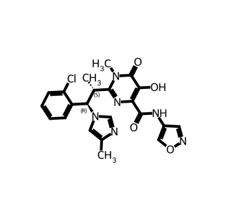 Cc1cn([C@@H](c2ccccc2Cl)[C@H](C)c2nc(C(=O)Nc3cnoc3)c(O)c(=O)n2C)cn1